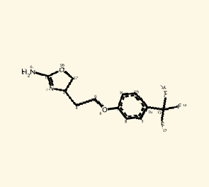 NC1=NC(CCOc2ccc(C(F)(F)F)cc2)CO1